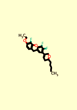 CCCCCC1CC=C(c2cc3c(c(F)c2F)Oc2c(ccc(OCC)c2F)C3)CO1